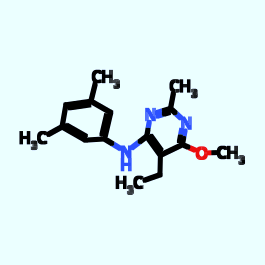 CCc1c(Nc2cc(C)cc(C)c2)nc(C)nc1OC